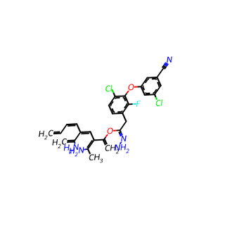 C=C\C=C/C(=C/C(C(=C)O/C(Cc1ccc(Cl)c(Oc2cc(Cl)cc(C#N)c2)c1F)=N\N)=C(/C)N)C(=C)N